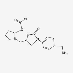 NCc1ccc(N2CC(CN3CCCC3OC(=O)O)OC2=O)cc1